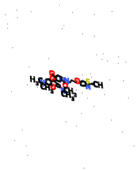 C#Cc1nc2ccc(OCCCNC(=O)c3ccc4c(c3)C3(OC4=O)c4ccc(N(C)C)cc4Oc4cc(N(C)C)ccc43)cc2s1